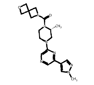 C[C@@H]1CN(c2cncc(-c3cnn(C)c3)n2)CCN1C(=O)N1CC2(COC2)C1